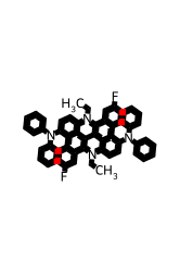 CCn1c2ccc(N(c3ccccc3)c3ccccc3)c3c4ccc(F)cc4c4c(c32)-c2c3c(c(N(c5ccccc5)c5ccccc5)ccc3n4CC)c3ccc(F)cc3c21